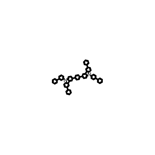 c1ccc(-c2ccc(-n3c4ccc(-c5ccccc5)cc4c4cc(-c5ccc(-c6ccc7c(c6)c6cc(-c8ccccc8)ccc6n7-c6cccc(-c7ccccc7)c6)cc5)ccc43)cc2)cc1